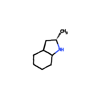 C[C@H]1CC2CCCCC2N1